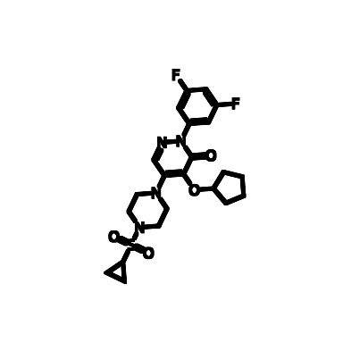 O=c1c(OC2CCCC2)c(N2CCN(S(=O)(=O)C3CC3)CC2)cnn1-c1cc(F)cc(F)c1